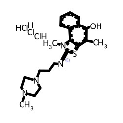 Cc1c(O)c2ccccc2c2c1s/c(=N/CCCN1CCN(C)CC1)n2C.Cl.Cl.Cl